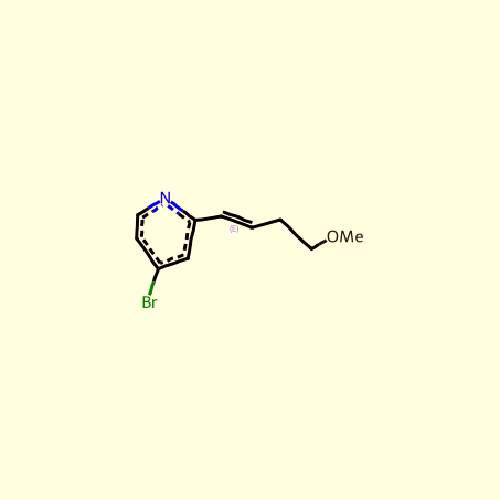 COCC/C=C/c1cc(Br)ccn1